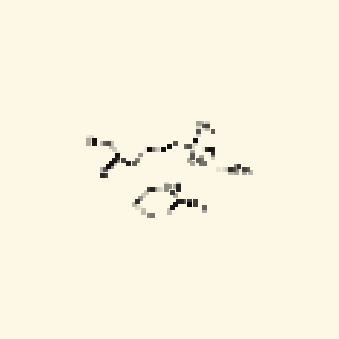 CC1CCCCN1.CCCCCCCCCCCCC(C)(C)CCCCC(=O)OC(C)C